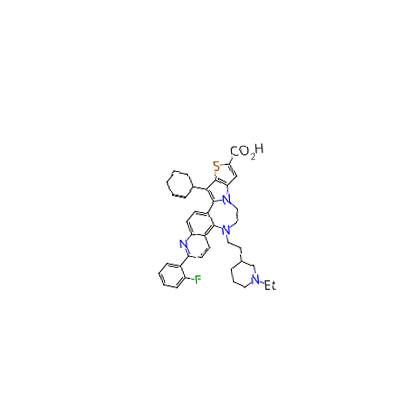 CCN1CCCC(CCN2CCn3c(c(C4CCCCC4)c4sc(C(=O)O)cc43)-c3ccc4nc(-c5ccccc5F)ccc4c32)C1